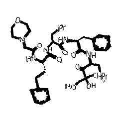 CC(C)CC(NC(=O)[C@H](CCc1ccccc1)NC(=O)CN1CCOCC1)C(=O)N[C@@H](Cc1ccccc1)C(=O)NC(CC(C)C)C(=O)C(C)(O)CO